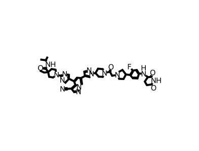 CCC1(C(=O)NC(C)C)CCN(c2ncc(-c3cc(-c4cnn(C5CCN(C(=O)CN6CCC(c7ccc(NC8CCC(=O)NC8=O)cc7F)CC6)CC5)c4)cn4ncc(C#N)c34)cn2)CC1